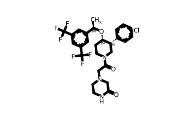 C[C@@H](O[C@H]1CCN(C(=O)CN2CCNC(=O)C2)C[C@H]1c1ccccc1)c1cc(C(F)(F)F)cc(C(F)(F)F)c1.Cl